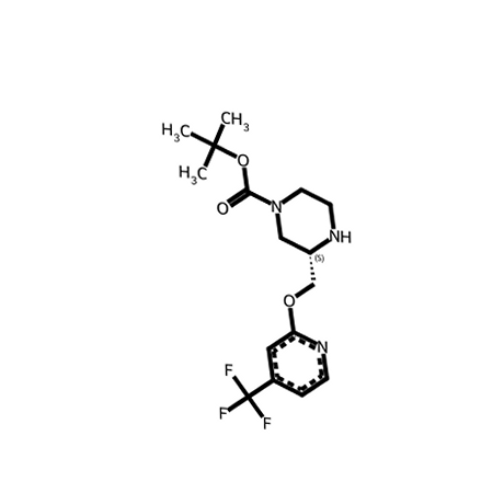 CC(C)(C)OC(=O)N1CCN[C@H](COc2cc(C(F)(F)F)ccn2)C1